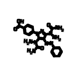 NC(=O)N(N)c1nn(-c2ccc(C(=O)O)cc2)c(N(N)C(N)=O)c1N=Nc1ccccc1